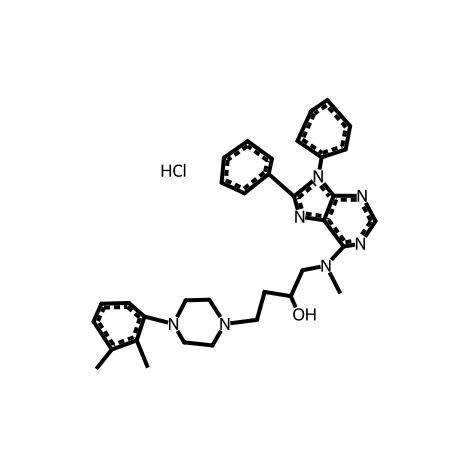 Cc1cccc(N2CCN(CCC(O)CN(C)c3ncnc4c3nc(-c3ccccc3)n4-c3ccccc3)CC2)c1C.Cl